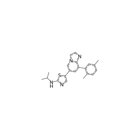 Cc1ccc(C)c(-c2cc(-c3cnc(NC(C)C)s3)cn3ccnc23)c1